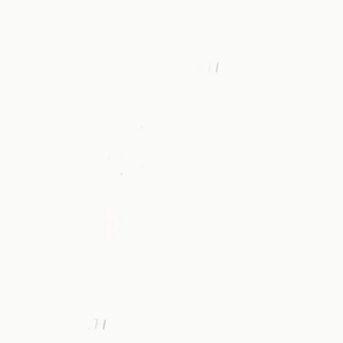 C#CCCOCC12SCC(CCC)(CS1)CS2